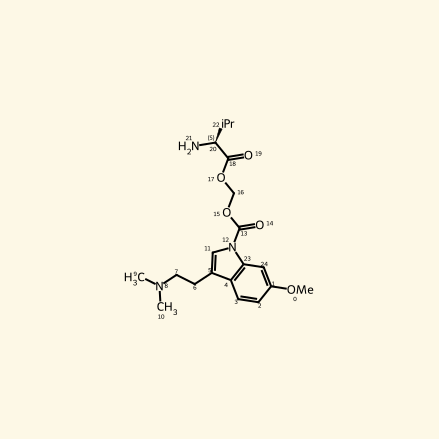 COc1ccc2c(CCN(C)C)cn(C(=O)OCOC(=O)[C@@H](N)C(C)C)c2c1